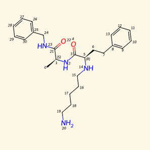 C[C@H](NC(=O)[C@@H](CCc1ccccc1)NCCCCCN)C(=O)NCc1cc[c]cc1